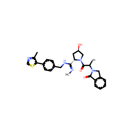 Cc1ncsc1-c1ccc(CNC(=NC#N)[C@@H]2C[C@@H](O)CN2C(=O)C(C(C)C)N2Cc3ccccc3C2=O)cc1